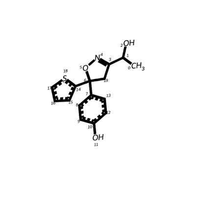 CC(O)C1=NOC(c2ccc(O)cc2)(c2cccs2)C1